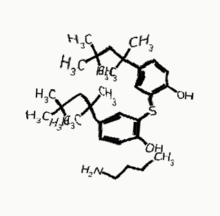 CC(C)(C)CC(C)(C)c1ccc(O)c(Sc2cc(C(C)(C)CC(C)(C)C)ccc2O)c1.CCCCN